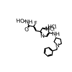 Cl.Cl.O=C(NO)C(F)=Cc1cnc(N[C@@H]2CCN(Cc3ccccc3)C2)cn1